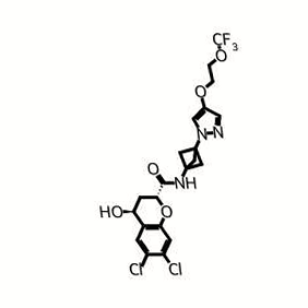 O=C(NC12CC(n3cc(OCCOC(F)(F)F)cn3)(C1)C2)[C@H]1C[C@H](O)c2cc(Cl)c(Cl)cc2O1